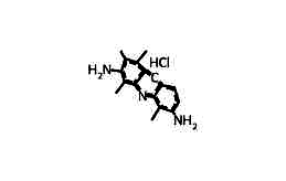 Cc1c(N)c(C)c2nc3c(C)c(N)ccc3cc2c1C.Cl